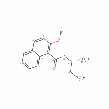 CCOc1ccc2ccccc2c1C(=O)N[C@@H](CS(=O)(=O)O)C(=O)O